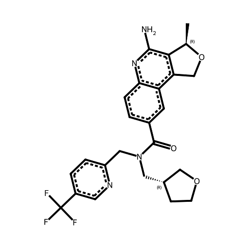 C[C@H]1OCc2c1c(N)nc1ccc(C(=O)N(Cc3ccc(C(F)(F)F)cn3)C[C@H]3CCOC3)cc21